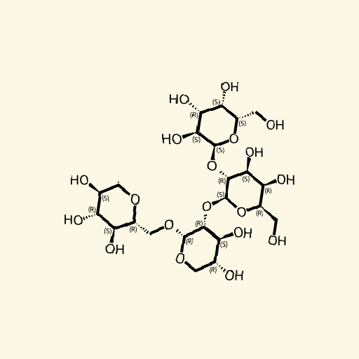 OC[C@@H]1O[C@@H](O[C@H]2[C@H](O[C@H]3[C@@H](OC[C@H]4O[CH][C@H](O)[C@@H](O)[C@@H]4O)OC[C@@H](O)[C@@H]3O)O[C@H](CO)[C@H](O)[C@@H]2O)[C@@H](O)[C@H](O)[C@@H]1O